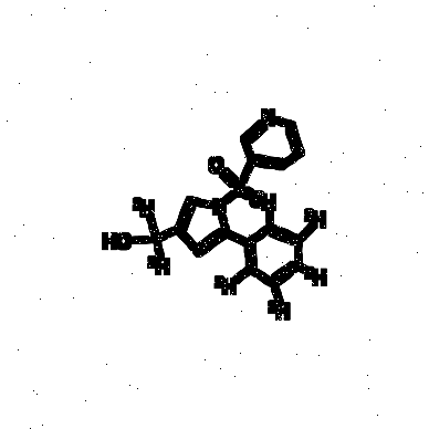 [2H]c1c([2H])c([2H])c(-c2cc(C([2H])([2H])O)cn2S(=O)(=O)c2cccnc2)c([2H])c1[2H]